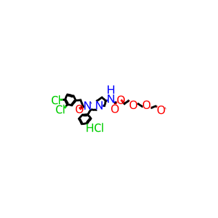 COCCOCCOCCOC(=O)NC1CCN(CC(c2ccccc2)N(C)C(=O)Cc2ccc(Cl)c(Cl)c2)C1.Cl